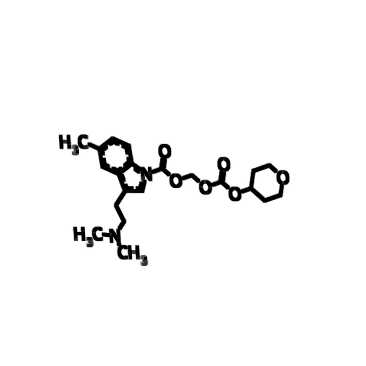 Cc1ccc2c(c1)c(CCN(C)C)cn2C(=O)OCOC(=O)OC1CCOCC1